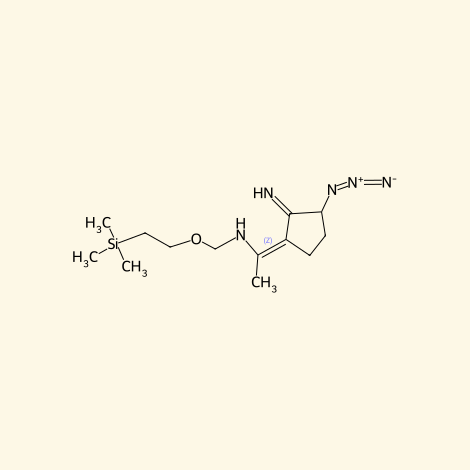 C/C(NCOCC[Si](C)(C)C)=C1\CCC(N=[N+]=[N-])C1=N